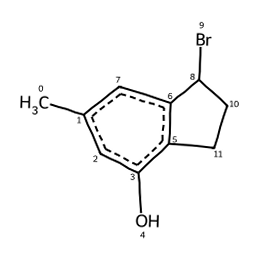 Cc1cc(O)c2c(c1)C(Br)CC2